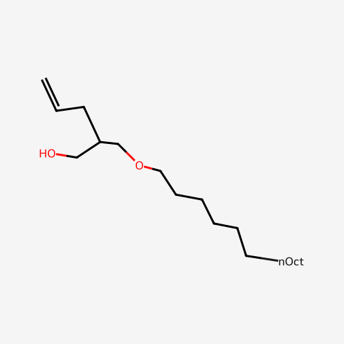 C=CCC(CO)COCCCCCCCCCCCCCC